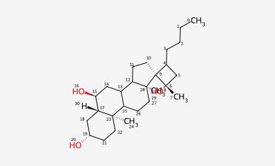 CCCCC1C[C@](C)(O)[C@]12CCC1C3C[C@H](O)[C@H]4C[C@@H](O)CC[C@]4(C)C3CC[C@@]12C